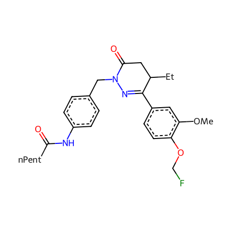 CCCCCC(=O)Nc1ccc(CN2N=C(c3ccc(OCF)c(OC)c3)C(CC)CC2=O)cc1